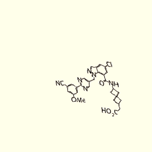 COc1cc(C#N)cc(-c2ncc(Cn3ncc4cc(Cl)cc(C(=O)NC5CC6(CC(CC(=O)O)C6)C5)c43)cn2)c1